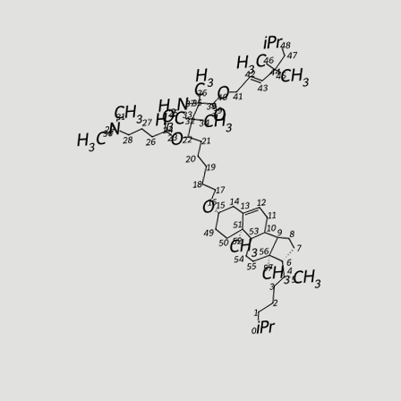 CC(C)CCC[C@@H](C)[C@H]1CCC2C3CC=C4C[C@@H](OCCCCCC(OC(=O)CCCN(C)C)C(C)(C)C(C)(N)C(=O)OC/C=C/C(C)(C)CC(C)C)CC[C@]4(C)C3CC[C@@]21C